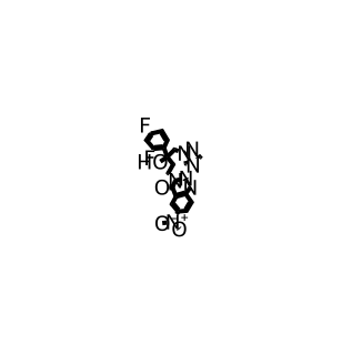 O=c1c2cc([N+](=O)[O-])ccc2nnn1CCC(O)(Cn1cncn1)c1ccc(F)cc1F